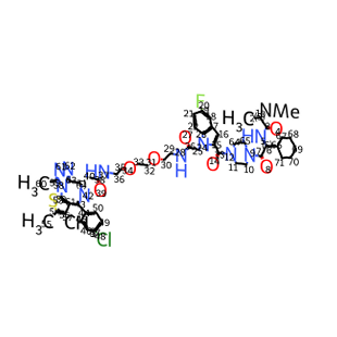 CN[C@@H](C)C(=O)N[C@H](C(=O)N1CCN(C(=O)c2cc3cc(F)ccc3n2CC(=O)NCCOCCOCCNC(=O)C[C@@H]2N=C(c3ccc(Cl)cc3)c3c(sc(C)c3C)-n3c(C)nnc32)CC1)C1CCCCC1